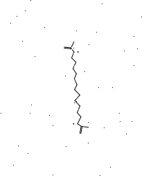 C=C(C)[CH]CCCCCCCCCCCC[CH]C(=C)C